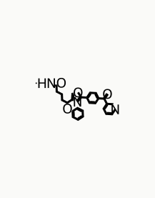 [NH]C(=O)CCCC(Oc1ccccc1)c1coc(-c2ccc(C(=O)c3cccnc3)cc2)n1